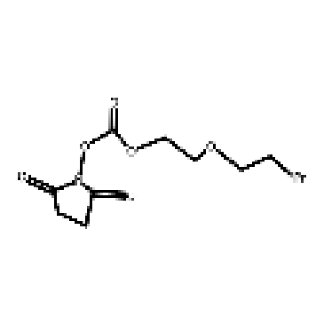 CC(C)CCOCCOC(=O)ON1C(=O)CCC1=O